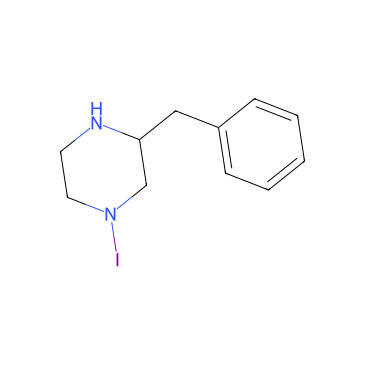 IN1CCNC(Cc2ccccc2)C1